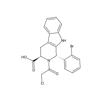 O=C(O)[C@H]1Cc2c([nH]c3ccccc23)[C@H](c2ccccc2Br)N1C(=O)CCl